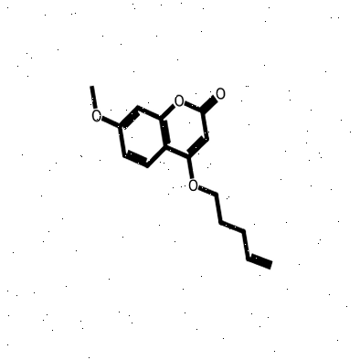 C=CCCCOc1cc(=O)oc2cc(OC)ccc12